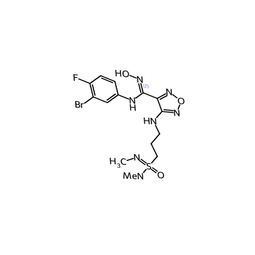 CN=S(=O)(CCCNc1nonc1/C(=N/O)Nc1ccc(F)c(Br)c1)NC